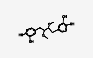 COC(Cc1ccc(O)c(O)c1)C(Cc1ccc(O)c(O)c1)OC